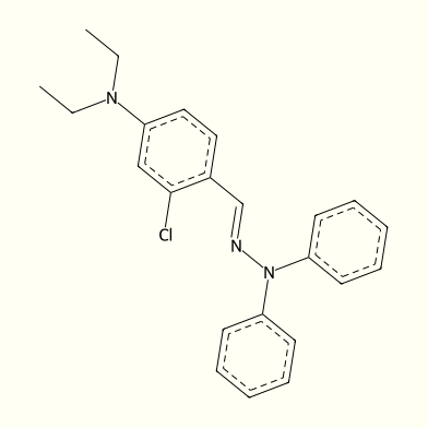 CCN(CC)c1ccc(C=NN(c2ccccc2)c2ccccc2)c(Cl)c1